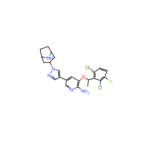 CC(Oc1cc(-c2cnn(C3CC4CCC(C3)N4)c2)cnc1N)c1c(Cl)ccc(F)c1Cl